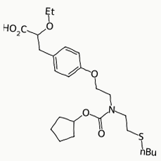 CCCCSCCN(CCOc1ccc(CC(OCC)C(=O)O)cc1)C(=O)OC1CCCC1